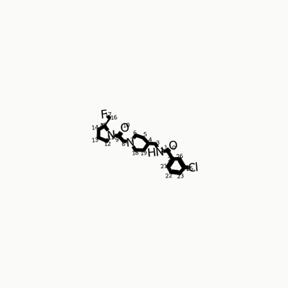 O=C(NCC1CCN(CC(=O)N2CCC[C@H]2CF)CC1)c1cccc(Cl)c1